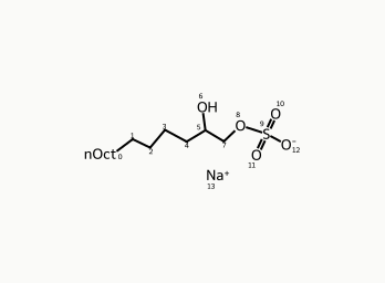 CCCCCCCCCCCCC(O)COS(=O)(=O)[O-].[Na+]